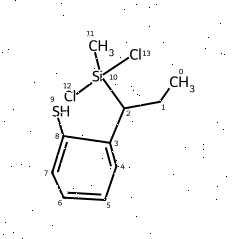 CCC(c1ccccc1S)[Si](C)(Cl)Cl